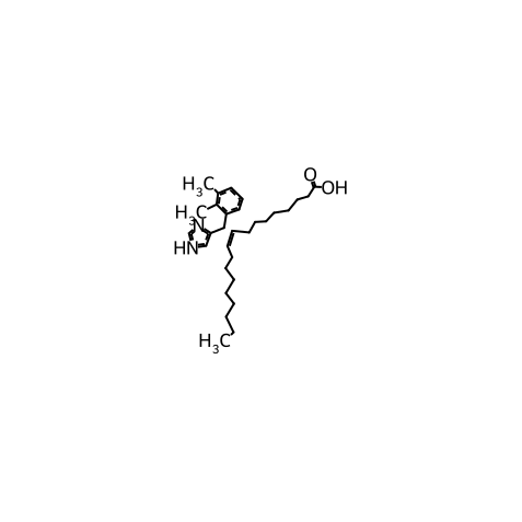 CCCCCCCC/C=C\CCCCCCCC(=O)O.Cc1cccc(Cc2c[nH]cn2)c1C